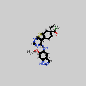 CC[C@]1(C(=O)Cl)CCc2c(sc3ncnc(Nc4cc5cn[nH]c5cc4OC)c23)C1